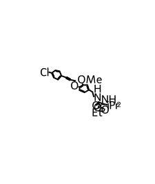 CCS(=O)(=O)C(N)(C(=O)NCCc1ccc(OCC#Cc2ccc(Cl)cc2)c(OC)c1)C(C)C